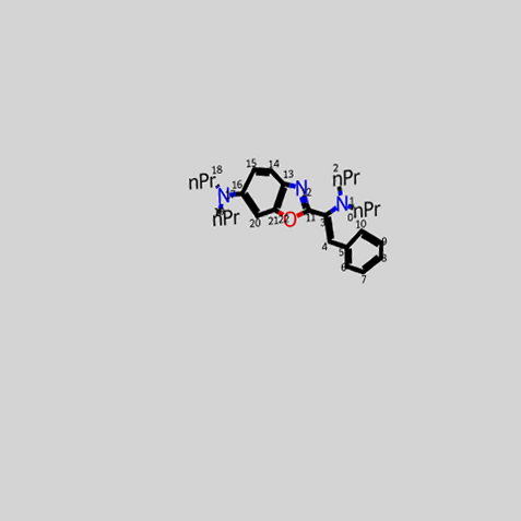 CCCN(CCC)C(=Cc1ccccc1)c1nc2ccc(N(CCC)CCC)cc2o1